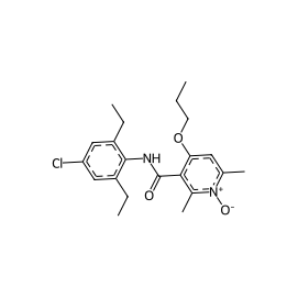 CCCOc1cc(C)[n+]([O-])c(C)c1C(=O)Nc1c(CC)cc(Cl)cc1CC